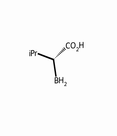 B[C@@H](C(=O)O)C(C)C